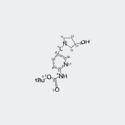 CC(C)(C)OC(=O)Nc1ccc(CN2CCC(O)C2)cn1